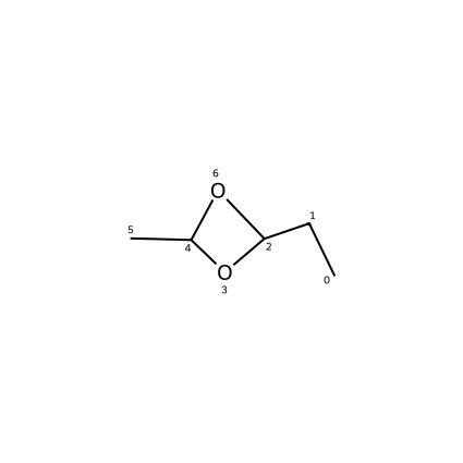 CCC1OC(C)O1